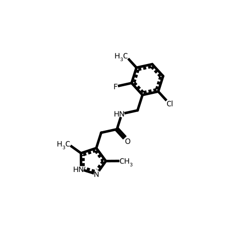 Cc1ccc(Cl)c(CNC(=O)Cc2c(C)n[nH]c2C)c1F